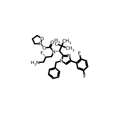 CC(C)(C)[C@H](c1nc(-c2cc(F)ccc2F)cn1Cc1ccccc1)N(C[C@@H](F)CN)C(=O)ON1CCCO1